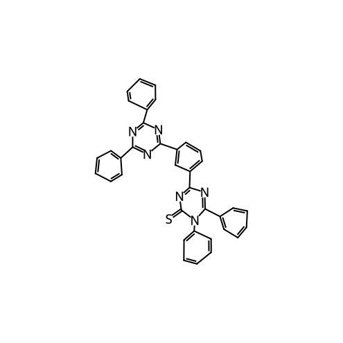 S=c1nc(-c2cccc(-c3nc(-c4ccccc4)nc(-c4ccccc4)n3)c2)nc(-c2ccccc2)n1-c1ccccc1